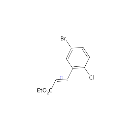 CCOC(=O)/C=C/c1cc(Br)ccc1Cl